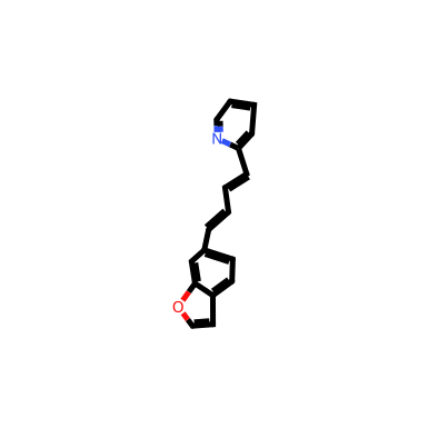 C(C=Cc1ccccn1)=Cc1ccc2ccoc2c1